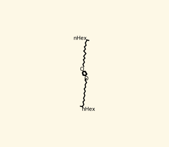 CCCCCCC(C)CCCCCCCCCCCCOc1ccc(OCCCCCCCCCCCCC(C)CCCCCC)cc1